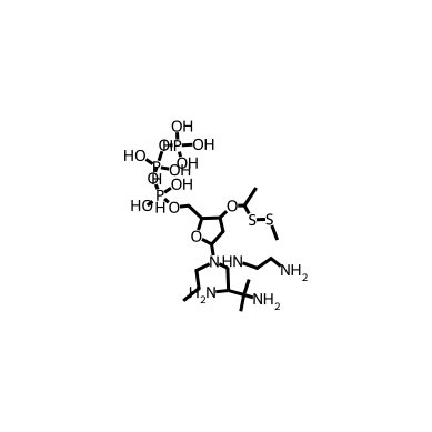 CCCN(C1CC(OC(C)SSC)C(CO[PH](O)(O)O[PH](O)(O)O[PH](O)(O)O)O1)C(NCCN)C(N)C(C)(C)N